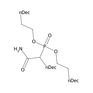 CCCCCCCCCCCCOP(=O)(OCCCCCCCCCCCC)C(CCCCCCCCCC)C(N)=O